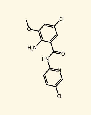 COc1cc(Cl)cc(C(=O)Nc2ccc(Cl)cn2)c1N